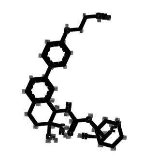 COCCOc1ccc(-c2ccc3c(c2)C(NC(=O)O[C@H]2CN4CCC2CC4)C(C)(C)CC3)cc1